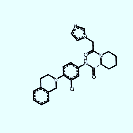 O=C(Nc1ccc(N2CCc3ccccc3C2)c(Cl)c1)[C@H]1CCCCN1C(=O)Cn1ccnc1